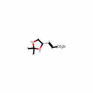 CCOC(=O)/C=C/[C@H]1COC(C)(C)O1